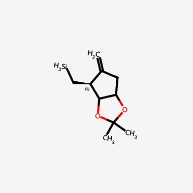 C=C1CC2OC(C)(C)OC2[C@H]1C[SiH3]